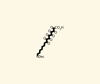 CCCCCCCCCCCCCCCCCC(=O)C(=O)C(=O)C(=O)C(=O)C(=O)C(=O)C(=O)C(=O)O